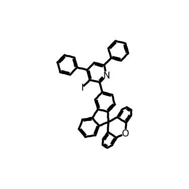 Ic1c(-c2ccccc2)cc(-c2ccccc2)nc1-c1ccc2c(c1)-c1ccccc1C21c2ccccc2Oc2ccccc21